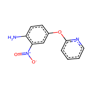 Nc1ccc(Oc2ccccn2)cc1[N+](=O)[O-]